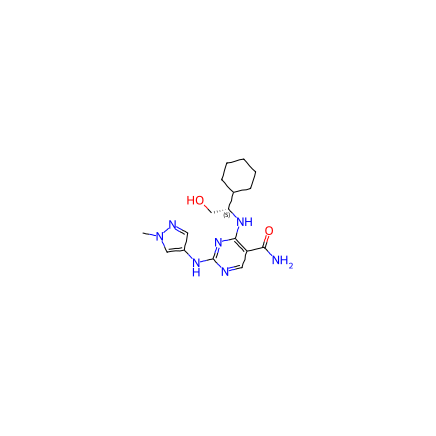 Cn1cc(Nc2ncc(C(N)=O)c(N[C@H](CO)C3CCCCC3)n2)cn1